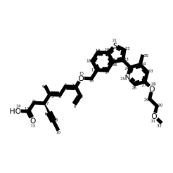 C=C/C(=C\C=C(/C)[C@@H](C#CC)CC(=O)O)OCc1ccc2scc(-c3ncc(OCCOC)cc3C)c2c1